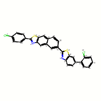 Clc1ccc(-c2nc3cc4cc(-c5nc6ccc(-c7ccccc7Cl)cc6s5)ccc4cc3s2)cc1